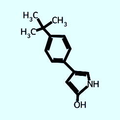 CC(C)(C)c1ccc(-c2c[nH]c(O)c2)cc1